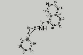 c1ccc(C2CC2NCc2cccc3ccccc23)cc1